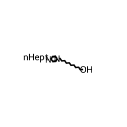 CCCCCCCN=c1ccn(CCCCCCCCCCO)cc1